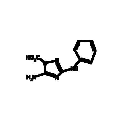 Nc1nc(Nc2ccccc2)nn1C(=O)O